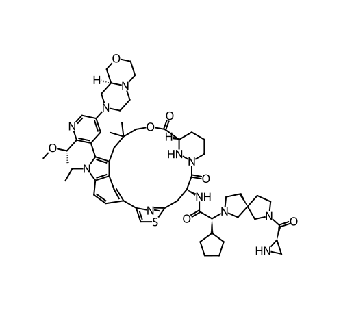 CCn1c(-c2cc(N3CCN4CCOC[C@@H]4C3)cnc2[C@H](C)OC)c2c3cc(ccc31)-c1csc(n1)C[C@H](NC(=O)[C@H](C1CCCC1)N1CC[C@]3(CCN(C(=O)[C@H]4CN4)C3)C1)C(=O)N1CCC[C@H](N1)C(=O)OCC(C)(C)C2